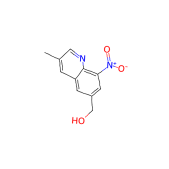 Cc1cnc2c([N+](=O)[O-])cc(CO)cc2c1